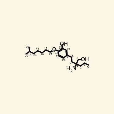 CCC[C@@](N)(CO)CCc1ccc(OCCCCCC(C)C)c(O)c1